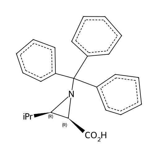 CC(C)[C@@H]1[C@H](C(=O)O)N1C(c1ccccc1)(c1ccccc1)c1ccccc1